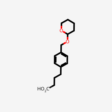 O=C(O)CCCc1ccc(COC2CCCCO2)cc1